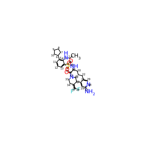 CC(=O)Nc1c(C2CCCC2)cccc1S(=O)(=O)N[C@@H](CCCc1ccc(N)nc1)C(=O)N1CCC(=C(F)F)CC1